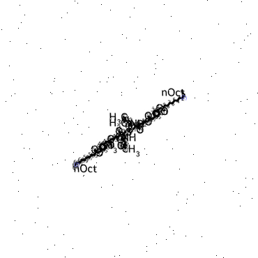 CCCCCCCC/C=C\CCCCCCCC(=O)Oc1ccc(CC(=O)OCCOC(=O)C(CSSCC(NC(=O)CN(C)C)C(=O)OCCOC(=O)Cc2ccc(OC(=O)CCCCCCC/C=C\CCCCCCCC)cc2)NC(=O)CN(C)C)cc1